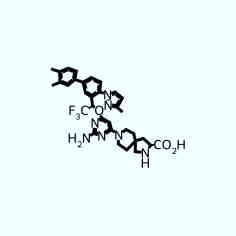 Cc1ccn(-c2ccc(-c3ccc(C)c(C)c3)cc2[C@@H](Oc2cc(N3CCC4(CC3)CN[C@H](C(=O)O)C4)nc(N)n2)C(F)(F)F)n1